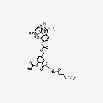 CN1CC[C@]23c4c5ccc(OC(=O)OCc6ccc(OC(=O)C(C)(C)C)c(C(=O)NCCNC(=O)CCCC(=O)O)c6)c4O[C@H]2[C@@H](O)C=C[C@H]3[C@H]1C5